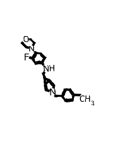 CCc1ccc(Cn2cc3c(c2)C3CNc2ccc(N3CCOCC3)c(F)c2)cc1